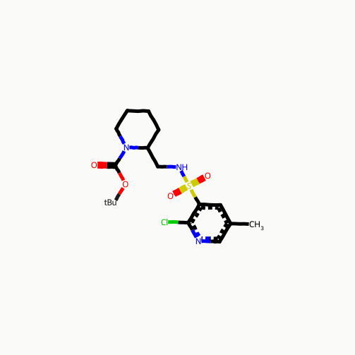 Cc1cnc(Cl)c(S(=O)(=O)NCC2CCCCN2C(=O)OC(C)(C)C)c1